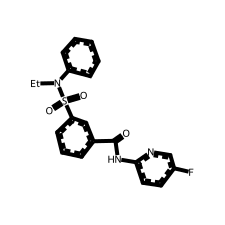 CCN(c1ccccc1)S(=O)(=O)c1cccc(C(=O)Nc2ccc(F)cn2)c1